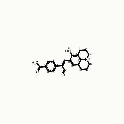 CC(=O)c1ccc(/C(C=O)=C/C2=CC3CCCN4CCCC(=C2O)C34)cc1